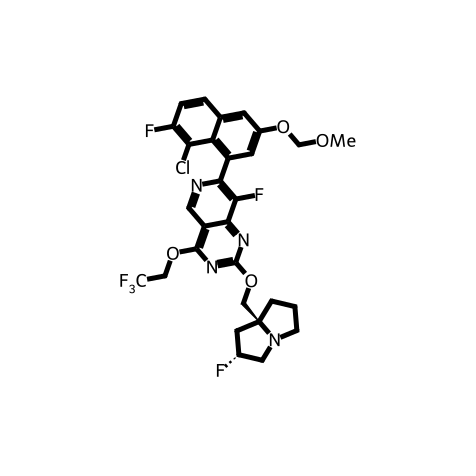 COCOc1cc(-c2ncc3c(OCC(F)(F)F)nc(OC[C@@]45CCCN4C[C@H](F)C5)nc3c2F)c2c(Cl)c(F)ccc2c1